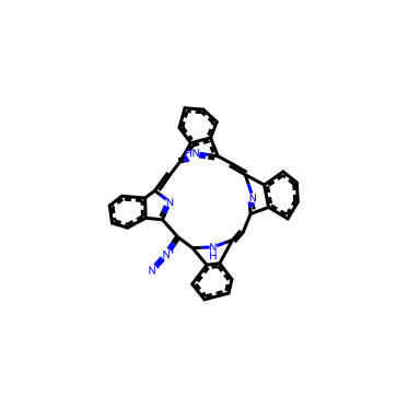 [N-]=[N+]=C1C2=NC(=Cc3[nH]c(c4ccccc34)C=C3N=C(C=C4NC1c1ccccc14)c1ccccc13)c1ccccc12